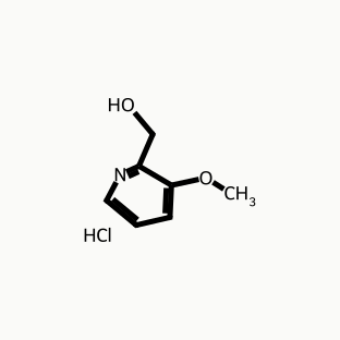 COc1cccnc1CO.Cl